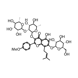 COc1ccc(-c2oc3c(CC=C(C)C)c(O[C@@H]4O[C@H](CO)[C@@H](O)[C@H](O)[C@H]4O)cc(O)c3c(=O)c2OC2O[C@@H](C)[C@H](O)[C@@H](O)[C@H]2O[C@@H]2O[C@@H](C)[C@H](O)[C@@H](O)[C@H]2O)cc1